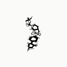 CC(C)(C)OC(=O)N1CCC(CS(=O)(=O)c2ccc(-c3ccc(F)cc3F)cc2)CC1